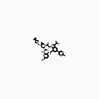 CC(=O)c1nn(CC(=O)N2C3C[C@]3(CN3CC4(CC4)C3)C[C@H]2C(=O)Nc2nc(Br)ccc2C)c2c(CF)cc(-c3cnc(C)nc3)cc12